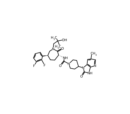 Cc1cnc2[nH]c(=O)n(C3CCN(C(=O)N[C@@H]4CC[C@@H](c5cccc(F)c5F)CN(CC(C)(C)O)C4=O)CC3)c2c1